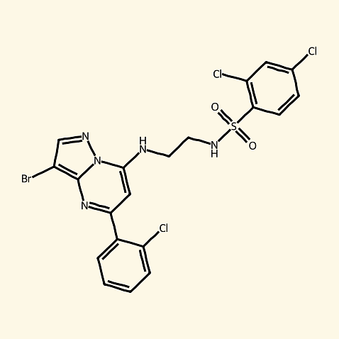 O=S(=O)(NCCNc1cc(-c2ccccc2Cl)nc2c(Br)cnn12)c1ccc(Cl)cc1Cl